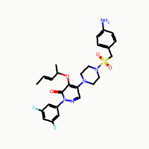 C/C=C/C(C)Oc1c(N2CCN(S(=O)(=O)Cc3ccc(N)cc3)CC2)cnn(-c2cc(F)cc(F)c2)c1=O